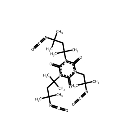 CC(C)(Cn1c(=O)n(C(C)(C)CC(C)(C)N=C=O)c(=O)n(C(C)(C)CC(C)(C)N=C=O)c1=O)N=C=O